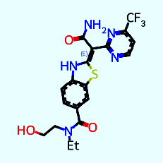 CCN(CCO)C(=O)c1ccc2c(c1)S/C(=C(/C(N)=O)c1nccc(C(F)(F)F)n1)N2